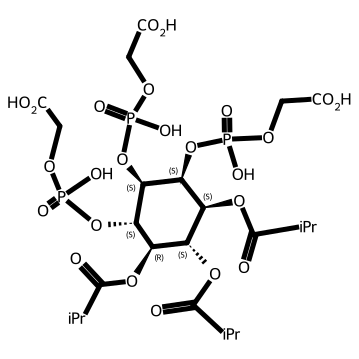 CC(C)C(=O)O[C@@H]1[C@@H](OC(=O)C(C)C)[C@H](OP(=O)(O)OCC(=O)O)[C@@H](OP(=O)(O)OCC(=O)O)[C@@H](OP(=O)(O)OCC(=O)O)[C@H]1OC(=O)C(C)C